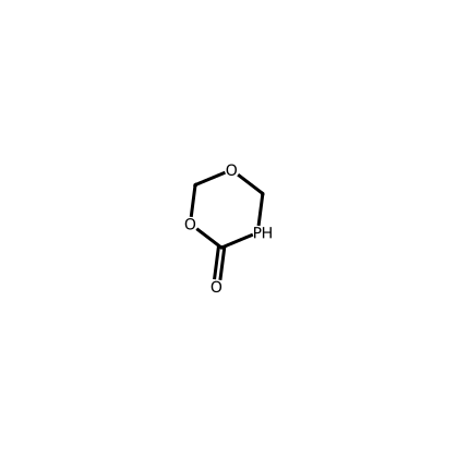 O=C1OCOCP1